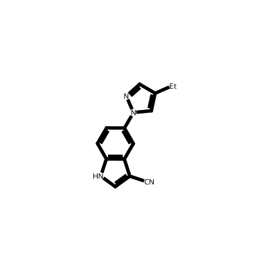 CCc1cnn(-c2ccc3[nH]cc(C#N)c3c2)c1